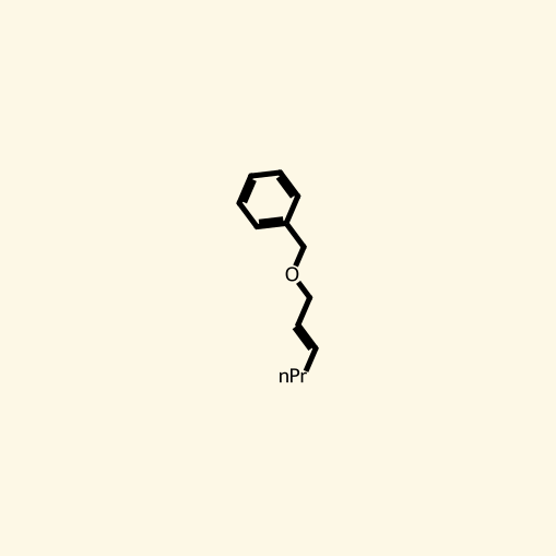 CCC/C=C/COCc1ccccc1